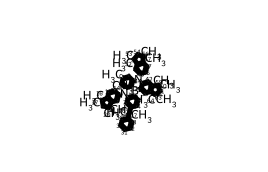 Cc1cc2c3c(c1)N(c1cc4c(cc1C)C(C)(C)CC4(C)C)c1cc(C(C)(C)c4ccccc4)ccc1B3c1cc3c(cc1N2c1ccc2c(c1)C(C)(C)CC2(C)C)C(C)(C)CC3(C)C